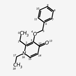 CCc1c(OCc2ccccc2)c(=O)ccn1CC